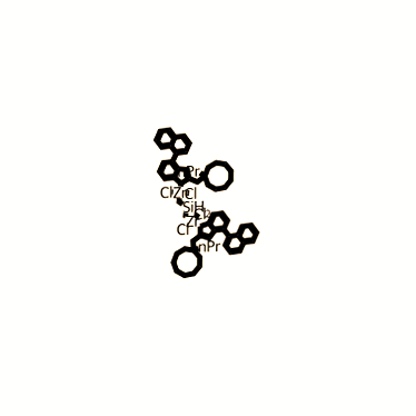 CCCC1(CC2=Cc3c(-c4cccc5ccccc45)cccc3[CH]2[Zr]([Cl])([Cl])[CH2][SiH2][CH2][Zr]([Cl])([Cl])[CH]2C(CC3(CCC)CCCCCCCC3)=Cc3c(-c4cccc5ccccc45)cccc32)CCCCCCCC1